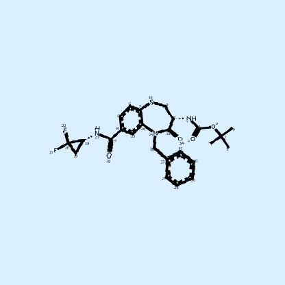 CC(C)(C)OC(=O)N[C@H]1CSc2ccc(C(=O)N[C@@H]3CC3(F)F)cc2N(Cc2ccccc2)C1=O